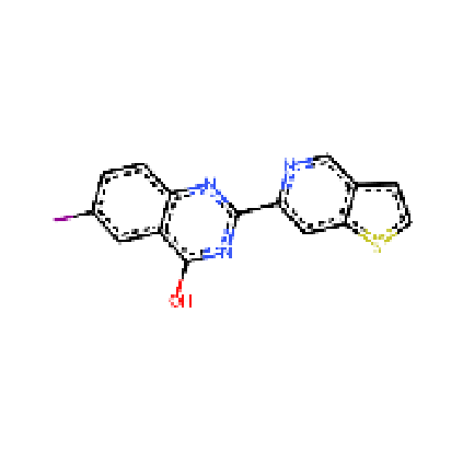 Oc1nc(-c2cc3sccc3cn2)nc2ccc(I)cc12